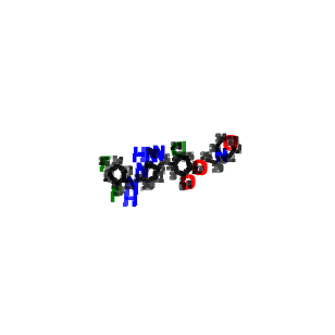 COc1cc(-c2n[nH]c3nc(Nc4ccc(F)cc4F)ccc23)c(Cl)cc1OCCN1CCOCC1